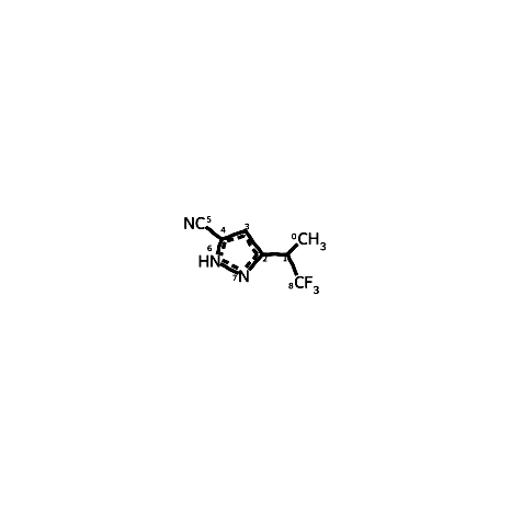 CC(c1cc(C#N)[nH]n1)C(F)(F)F